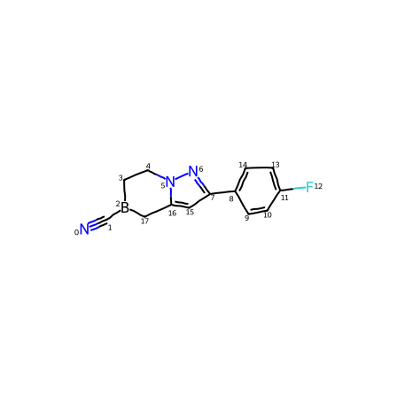 N#CB1CCn2nc(-c3ccc(F)cc3)cc2C1